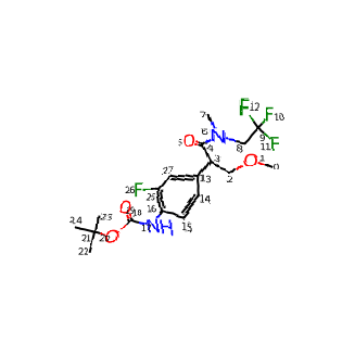 COCC(C(=O)N(C)CC(F)(F)F)c1ccc(NC(=O)OC(C)(C)C)c(F)c1